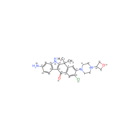 CC1(C)c2cc(N3CCN(C4COC4)CC3)c(Cl)cc2C(=O)c2c1[nH]c1cc(N)ccc21